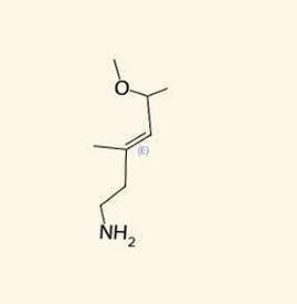 COC(C)/C=C(\C)CCN